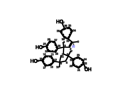 C/C(=C/C(C)(CC(C)(CC(C)(C)c1ccc(O)cc1)c1ccc(O)cc1)c1ccc(O)cc1)c1ccc(O)cc1